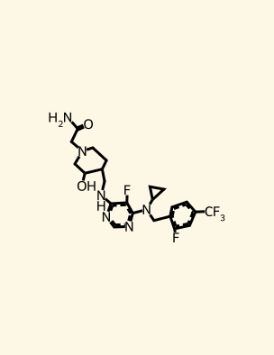 NC(=O)CN1CCC(CNc2ncnc(N(Cc3ccc(C(F)(F)F)cc3F)C3CC3)c2F)C(O)C1